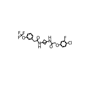 O=C(COc1ccc(Cl)c(F)c1)NC12CC(NC(=O)Cc3cccc(OC(F)(F)F)c3)(C1)C2